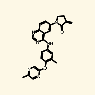 C=C1CCN(c2ccc3ncnc(Nc4ccc(Oc5cnc(C)cn5)c(C)c4)c3c2)C1=O